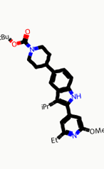 CCc1cc(-c2[nH]c3ccc(C4CCN(C(=O)OC(C)(C)C)CC4)cc3c2C(C)C)cc(OC)n1